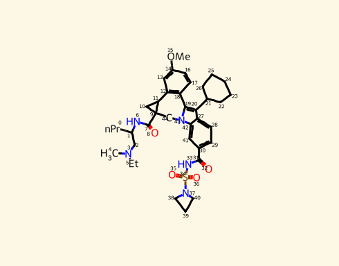 CCCC(CN(C)CC)NC(=O)C12CC1c1cc(OC)ccc1-c1c(C3CCCCC3)c3ccc(C(=O)NS(=O)(=O)N4CCC4)cc3n1C2